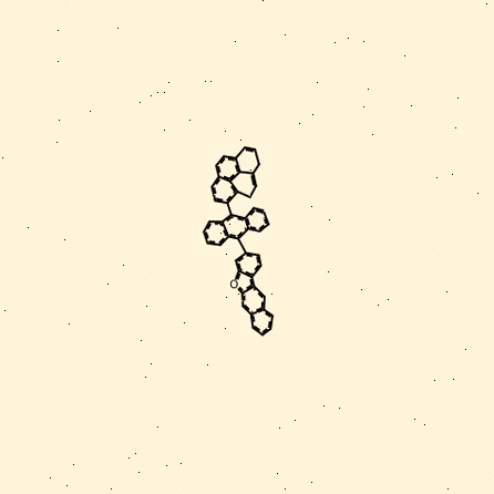 C1=Cc2ccc3ccc(-c4c5ccccc5c(-c5ccc6c(c5)oc5cc7ccccc7cc56)c5ccccc45)c4c3c2C(=CC4)C1